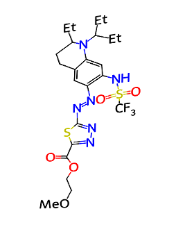 CCC(CC)N1c2cc(NS(=O)(=O)C(F)(F)F)c(N=Nc3nnc(C(=O)OCCOC)s3)cc2CCC1CC